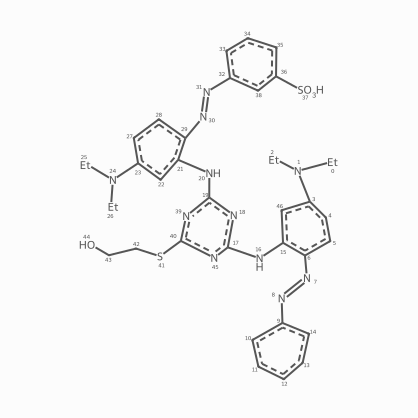 CCN(CC)c1ccc(/N=N/c2ccccc2)c(Nc2nc(Nc3cc(N(CC)CC)ccc3/N=N/c3cccc(S(=O)(=O)O)c3)nc(SCCO)n2)c1